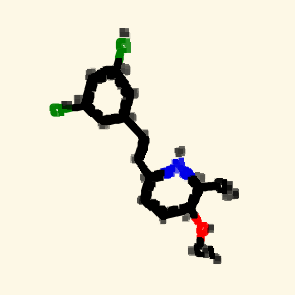 COc1ccc(/C=C/c2cc(Cl)cc(Cl)c2)nc1C